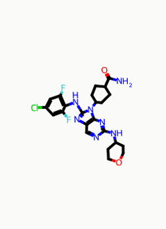 NC(=O)C1CCC(n2c(Nc3c(F)cc(Cl)cc3F)nc3cnc(NC4CCOCC4)nc32)CC1